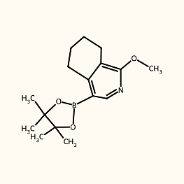 COc1ncc(B2OC(C)(C)C(C)(C)O2)c2c1CCCC2